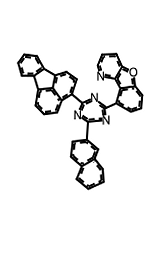 c1ccc2c(c1)-c1cccc3c(-c4nc(-c5ccc6ccccc6c5)nc(-c5cccc6oc7cccnc7c56)n4)ccc-2c13